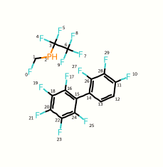 FCPC(F)(F)C(F)(F)F.Fc1ccc(-c2c(F)c(F)c(F)c(F)c2F)c(F)c1F